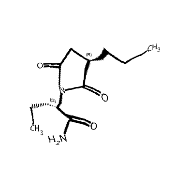 CCC[C@@H]1CC(=O)N([C@@H](CC)C(N)=O)C1=O